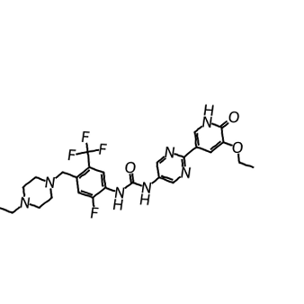 CCOc1cc(-c2ncc(NC(=O)Nc3cc(C(F)(F)F)c(CN4CCN(CC)CC4)cc3F)cn2)c[nH]c1=O